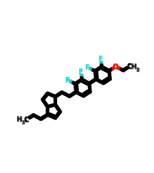 CCCC1=CCC2C(CCc3ccc(-c4ccc(OCC)c(F)c4F)c(F)c3F)CCC12